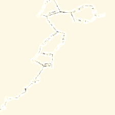 COCCNc1nc2ccc(-c3ocnc3-c3ccc(F)cc3)cc2s1